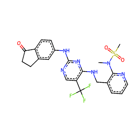 CN(c1ncccc1CNc1nc(Nc2ccc3c(c2)CCC3=O)ncc1C(F)(F)F)S(C)(=O)=O